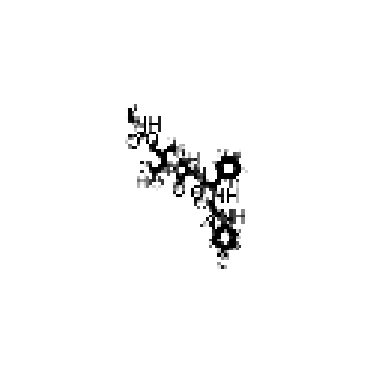 CCNC(=O)OCC1=C(C(=O)O)N2C(=O)C(NC(=O)C(NC(=O)c3nc4cc(Cl)ccc4[nH]3)c3ccccc3)[C@@H]2SC1